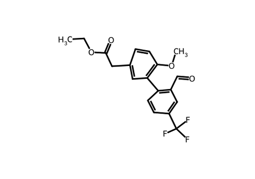 CCOC(=O)Cc1ccc(OC)c(-c2ccc(C(F)(F)F)cc2C=O)c1